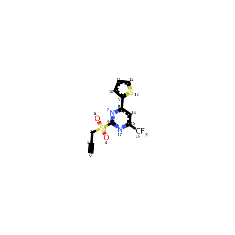 C#CCS(=O)(=O)c1nc(-c2cccs2)cc(C(F)(F)F)n1